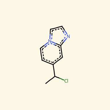 CC(Cl)c1ccn2ccnc2c1